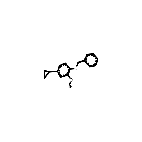 CCCOc1cc(C2CC2)ccc1OCc1ccccc1